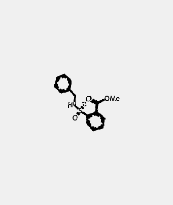 COC(=O)c1ccccc1S(=O)(=O)NCc1ccccc1